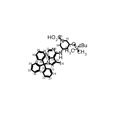 CC(C)(C)[Si](C)(C)O[C@H]1C[C@@H](Nc2ncnc3c2c(I)cn3C(c2ccccc2)(c2ccccc2)c2ccccc2)CN(C(=O)O)C1